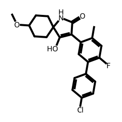 COC1CCC2(CC1)NC(=O)C(c1cc(-c3ccc(Cl)cc3)c(F)cc1C)=C2O